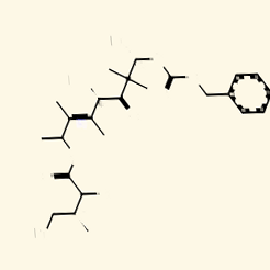 CC[C@H](OC(=O)OCc1ccccc1)C(C)(C)C(=O)[C@H](O)/C(C)=C(\C)C(C)OC(=O)C(O)[C@@H](C)CC(C)C